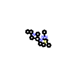 C1=CC(c2cccc3c4c5ccccc5ccc4n(-c4ccccc4)c23)Cc2c1n(-c1nc(-c3ccccc3)nc3cc(-c4ccccc4)sc13)c1c2ccc2ccccc21